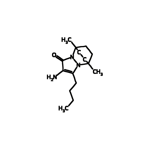 CCCCc1c(N)c(=O)n2n1C1(C)CCC2(C)CC1